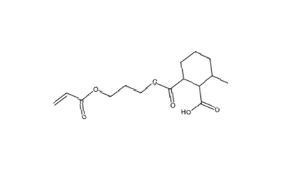 C=CC(=O)OCCCOC(=O)C1CCCC(C)C1C(=O)O